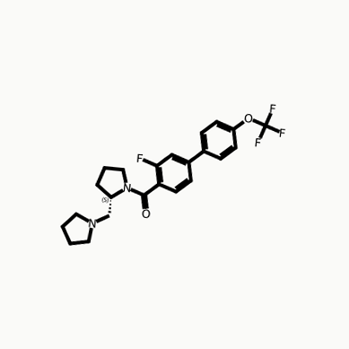 O=C(c1ccc(-c2ccc(OC(F)(F)F)cc2)cc1F)N1CCC[C@H]1CN1CCCC1